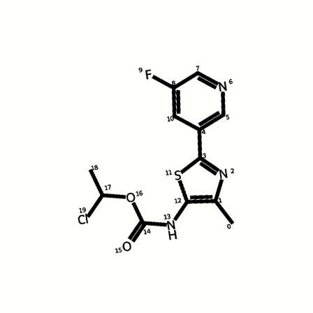 Cc1nc(-c2cncc(F)c2)sc1NC(=O)OC(C)Cl